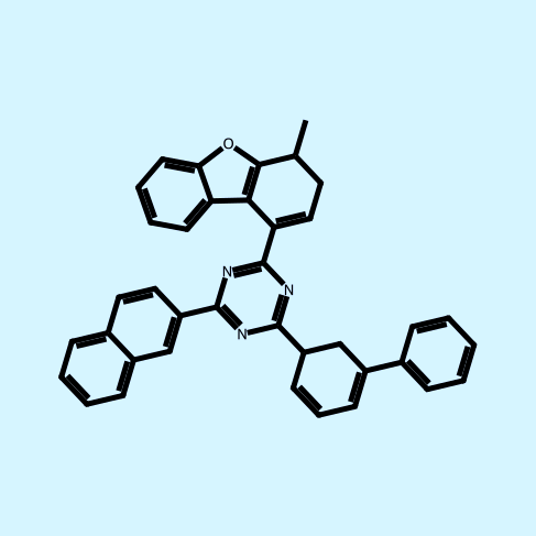 CC1CC=C(c2nc(-c3ccc4ccccc4c3)nc(C3C=CC=C(c4ccccc4)C3)n2)c2c1oc1ccccc21